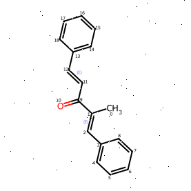 C/C(=C\c1ccccc1)C(=O)/C=C/c1ccccc1